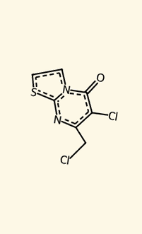 O=c1c(Cl)c(CCl)nc2sccn12